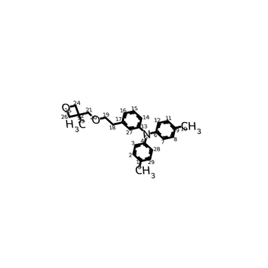 Cc1ccc(N(c2ccc(C)cc2)c2cccc(CCOCC3(C)COC3)c2)cc1